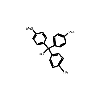 CCCc1ccc(C(O)(c2ccc(SC)cc2)c2ccc(SC)cc2)cc1